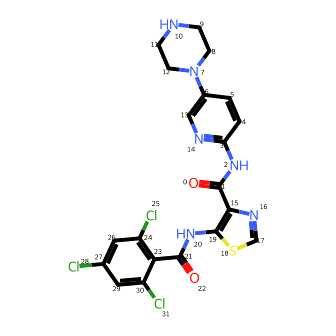 O=C(Nc1ccc(N2CCNCC2)cn1)c1ncsc1NC(=O)c1c(Cl)cc(Cl)cc1Cl